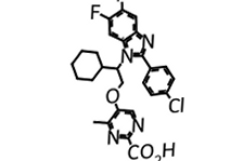 Cc1nc(C(=O)O)ncc1OCC(C1CCCCC1)n1c(-c2ccc(Cl)cc2)nc2cc(F)c(F)cc21